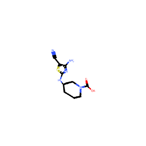 N#Cc1sc(NC2CCCN(C(=O)O)C2)nc1N